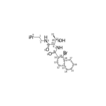 CC(C)C[CH]NC(=O)[C@@H](NC(=O)c1ccc2ccccc2c1Br)[C@@H](C)O